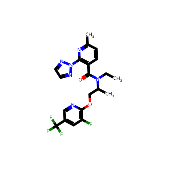 CCN(C(=O)c1ccc(C)nc1-n1nccn1)C(C)COc1ncc(C(F)(F)F)cc1F